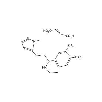 CC(=O)Oc1cc2c(cc1OC(C)=O)C(CSc1nnnn1C)NCC2.O=C(O)C=CC(=O)O